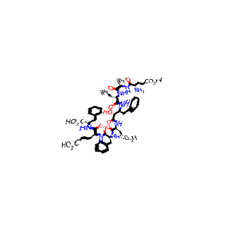 CC(C)C[C@H](NC(=O)[C@@H](NC(=O)[C@@H](N)CCC(=O)O)C(C)C)C(=O)N[C@@H](Cc1ccccc1)[C@@H](O)C(=O)N[C@@H](CC(=O)O)C(=O)N[C@@H](Cc1ccccc1)C(=O)N[C@@H](CCC(=O)O)C(=O)N[C@@H](Cc1ccccc1)C(=O)O